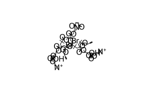 C#CCOC(=O)C(C)(Br)CC(C)(CC(C)(C)C(=O)COC(C)(COC(=O)C(C)(C)CC(C)(CC(C)(Br)C(=O)OCC#C)C(=O)OCCOP(=O)(O)OCC[N+](C)(C)C)C(=O)OCCN1C(=O)C=CC1=O)C(=O)OCCOP(=O)(O)OCC[N+](C)(C)C